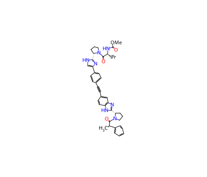 COC(=O)N[C@H](C(=O)N1CCC[C@H]1c1nc(-c2ccc(C#Cc3ccc4[nH]c([C@@H]5CCCN5C(=O)[C@H](C)c5ccccc5)nc4c3)cc2)c[nH]1)C(C)C